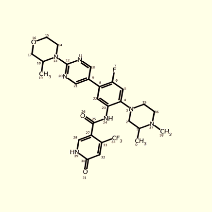 CC1CN(c2cc(F)c(-c3cnc(N4CCOCC4C)nc3)cc2NC(=O)c2c[nH]c(=O)cc2C(F)(F)F)CCN1C